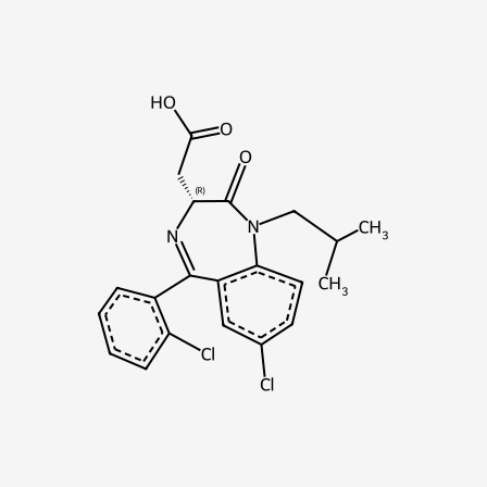 CC(C)CN1C(=O)[C@@H](CC(=O)O)N=C(c2ccccc2Cl)c2cc(Cl)ccc21